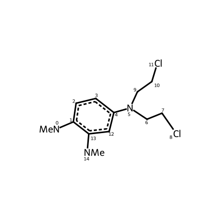 CNc1ccc(N(CCCl)CCCl)cc1NC